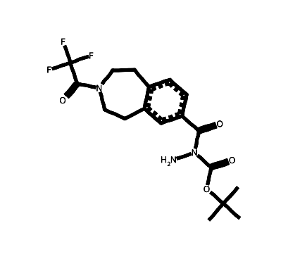 CC(C)(C)OC(=O)N(N)C(=O)c1ccc2c(c1)CCN(C(=O)C(F)(F)F)CC2